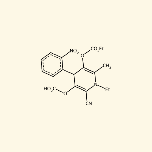 CCOC(=O)OC1=C(C)N(CC)C(C#N)=C(OC(=O)O)C1c1ccccc1[N+](=O)[O-]